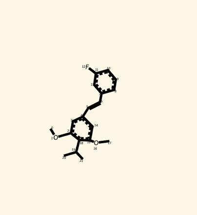 COc1cc(C=Cc2cccc(F)c2)cc(OC)c1C(C)C